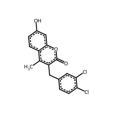 Cc1c(Cc2ccc(Cl)c(Cl)c2)c(=O)oc2cc(O)ccc12